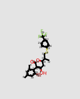 Cc1cc(C)c(C2=C(O)CC(C(C)CSc3ccc(C(F)(F)F)cc3)OC2=O)c(Br)c1